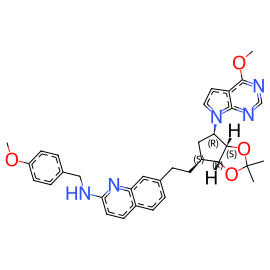 COc1ccc(CNc2ccc3ccc(CC[C@H]4C[C@@H](n5ccc6c(OC)ncnc65)[C@@H]5OC(C)(C)O[C@H]45)cc3n2)cc1